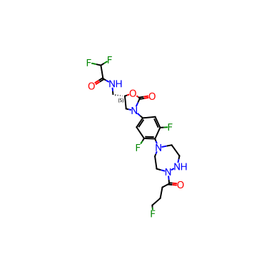 O=C(NC[C@H]1CN(c2cc(F)c(N3CCNN(C(=O)CCCF)CC3)c(F)c2)C(=O)O1)C(F)F